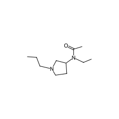 CCCN1CCC(N(CC)C(C)=O)C1